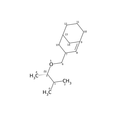 CC(C)[C@H](C)OCC1C=C2CCCC(C2)C1